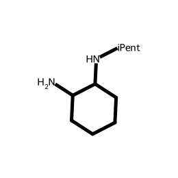 CCCC(C)NC1CCCCC1N